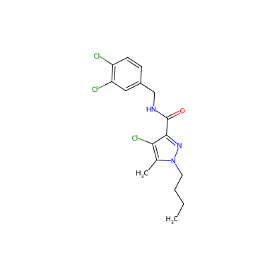 CCCCn1nc(C(=O)NCc2ccc(Cl)c(Cl)c2)c(Cl)c1C